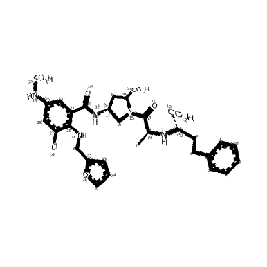 C[C@H](N[C@@H](CCc1ccccc1)C(=O)O)C(=O)N1C[C@@H](NC(=O)c2cc(NS(=O)(=O)O)cc(Cl)c2NCc2ccco2)CC1C(=O)O